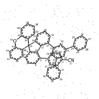 N#Cc1ccc(-c2cccc3c2-c2c(-c4nc(-c5ccccc5)cc(-c5ccccc5)n4)cccc2C32c3ccccc3Oc3ccccc32)cc1